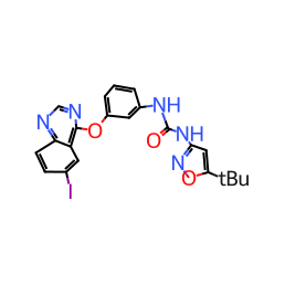 CC(C)(C)c1cc(NC(=O)Nc2cccc(Oc3ncnc4ccc(I)cc34)c2)no1